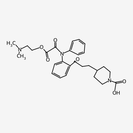 CN(C)CCOC(=O)C(=O)N(c1ccccc1)c1ccccc1C(=O)CCC1CCN(C(=O)O)CC1